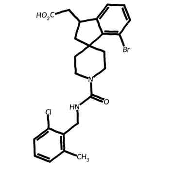 Cc1cccc(Cl)c1CNC(=O)N1CCC2(CC1)CC(CC(=O)O)c1cccc(Br)c12